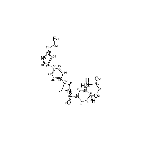 O=C1CO[C@H]2CCN(C(=O)N3CC(c4ccc(-c5cnn(CCF)c5)cc4)C3)C[C@H]2N1